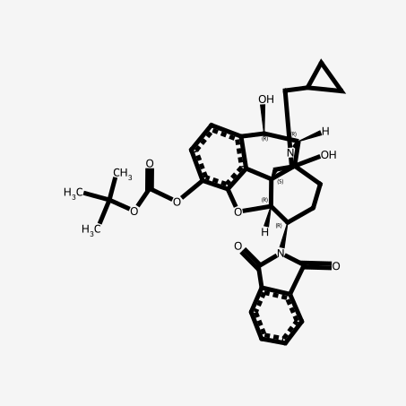 CC(C)(C)OC(=O)Oc1ccc2c3c1O[C@H]1[C@H](N4C(=O)c5ccccc5C4=O)CCC4(O)[C@@H]([C@@H]2O)N(CC2CC2)CC[C@]314